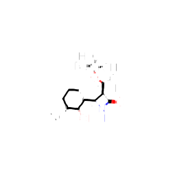 C[C@@H](O[Si](C)(C)C(C)(C)C)[C@H]1C(=O)N[C@@H]1[C@H]1CCC[C@H](C#N)[C@H]1O